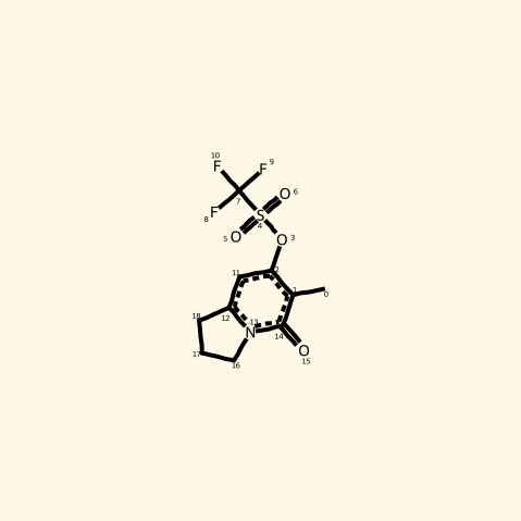 Cc1c(OS(=O)(=O)C(F)(F)F)cc2n(c1=O)CCC2